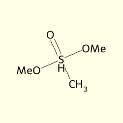 CO[SH](C)(=O)OC